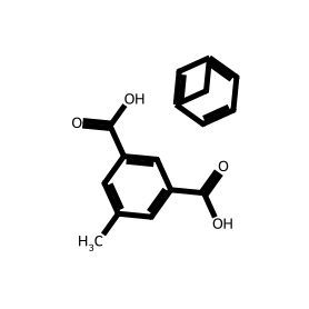 Cc1cc(C(=O)O)cc(C(=O)O)c1.c1cc2cc(c1)C2